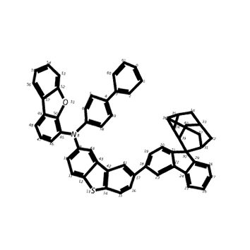 c1ccc(-c2ccc(N(c3ccc4sc5ccc(-c6ccc7c(c6)-c6ccccc6C76C7CC8CC9C(C7)C9C6C8)cc5c4c3)c3cccc4c3oc3ccccc34)cc2)cc1